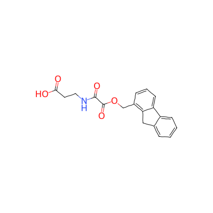 O=C(O)CCNC(=O)C(=O)OCc1cccc2c1Cc1ccccc1-2